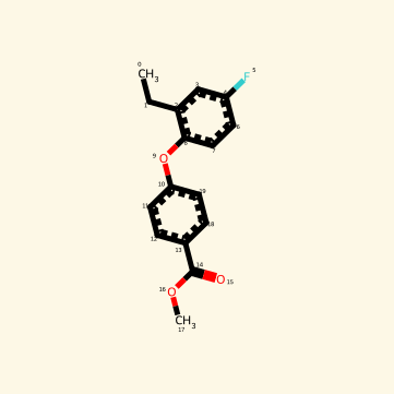 CCc1cc(F)ccc1Oc1ccc(C(=O)OC)cc1